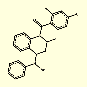 CC(=O)N(c1ccccc1)C1CC(C)N(C(=O)c2ccc(Cl)cc2C)c2ccccc21